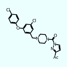 CC(=O)c1ccn(C(=O)N2CCN(Cc3cc(Cl)cc(Oc4ccc(Cl)cc4)c3)CC2)n1